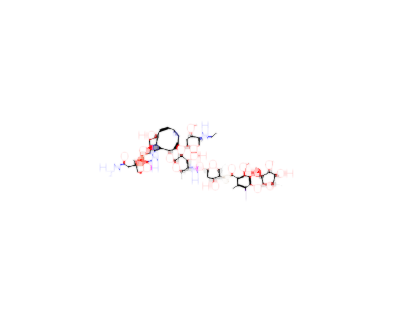 CCN[C@H]1CO[C@@H](O[C@H]2[C@H](O[C@H]3C#C/C=C\C#C[C@]4(O)CC(=O)C(NC(=O)OC)=C3/C4=C\CSSC(C)(C)CC(N)=O)O[C@H](C)[C@@H](NO[C@H]3C[C@H](O)[C@H](SC(=O)c4c(C)c(I)c(O[C@@H]5O[C@@H](C)[C@H](O)[C@@H](OC)[C@H]5O)c(OC)c4OC)[C@@H](C)O3)[C@@H]2O)C[C@@H]1OC